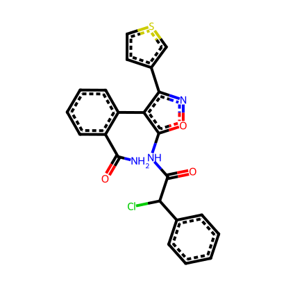 NC(=O)c1ccccc1-c1c(-c2ccsc2)noc1NC(=O)C(Cl)c1ccccc1